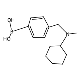 CN(Cc1ccc(B(O)O)cc1)C1CCCCC1